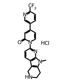 Cl.Cn1c2c(c3ccc(-n4ccc(-c5ccc(C(F)(F)F)nc5)cc4=O)nc31)CNCC2